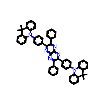 CC1(C)c2ccccc2N(c2ccc(-c3nc4nc(-c5ccccc5)c(-c5ccc(N6c7ccccc7C(C)(C)c7ccccc76)cc5)nc4nc3-c3ccccc3)cc2)c2ccccc21